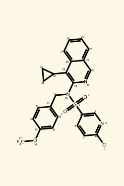 O=S(=O)(c1ccc(Cl)nc1)N(Cc1ccc(OC(F)(F)F)cc1)c1ncc2ccccc2c1C1CC1